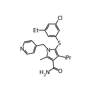 CCc1cc(Cl)cc(Sc2c(C(C)C)c(C(N)=O)c(C)n2Cc2ccncc2)c1